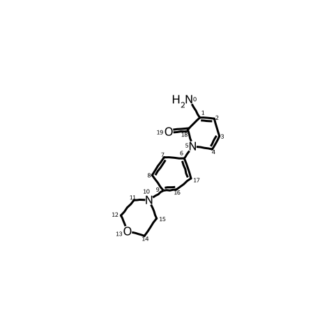 Nc1cccn(-c2ccc(N3CCOCC3)cc2)c1=O